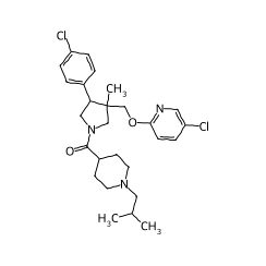 CC(C)CN1CCC(C(=O)N2CC(c3ccc(Cl)cc3)C(C)(COc3ccc(Cl)cn3)C2)CC1